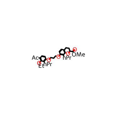 CCCc1c(OCCCOc2ccc(C(C)=O)c(OCC)c2CCC)ccc2c1OC(C(=O)OC)CC2